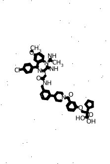 COc1ccc2c(c1)C(c1ccc(Cl)cc1)=N[C@@H](CC(=O)NCc1cccc(C3CCN(C(=O)c4cccc(OCC5(C6CCCC6)OC5(O)O)c4)CC3)c1)C(=N)N2C(C)=N